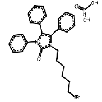 CC(C)CCCCCCn1c(-c2ccccc2)c(-c2ccccc2)n(-c2ccccc2)c1=O.O=[PH](O)O